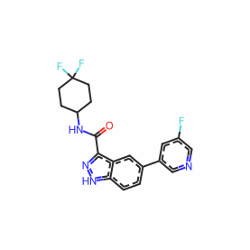 O=C(NC1CCC(F)(F)CC1)c1n[nH]c2ccc(-c3cncc(F)c3)cc12